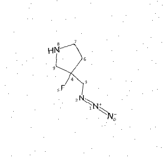 [N-]=[N+]=NCC1(F)CCNC1